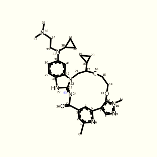 Cc1cc2cc(n1)-c1cnn(C)c1OCCCC(C1CC1)CN1/C(=N/C2=O)Nc2ccc(N(CCN(C)C)C3CC3)cc21